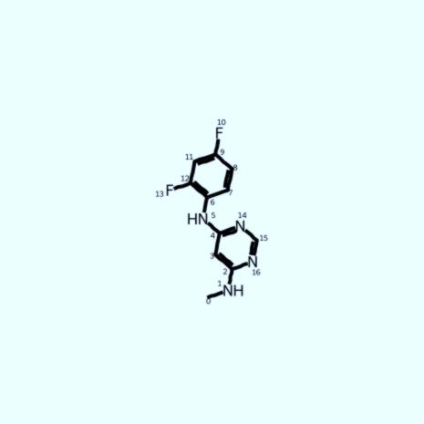 CNc1cc(Nc2ccc(F)cc2F)ncn1